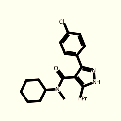 CCCc1[nH]nc(-c2ccc(Cl)cc2)c1C(=O)N(C)C1CCCCC1